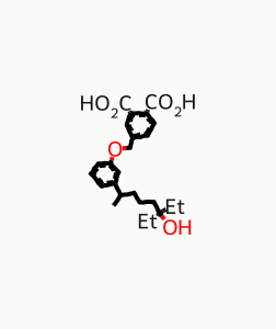 CCC(O)(CC)CCCC(C)c1cccc(OCc2ccc(C(=O)O)c(C(=O)O)c2)c1